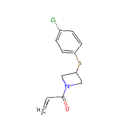 C=CC(=O)N1CC(Sc2ccc(Cl)cc2)C1